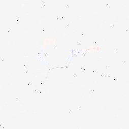 [CH2]C(C=NO)=NO